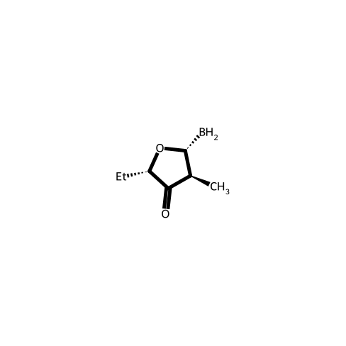 B[C@H]1O[C@@H](CC)C(=O)[C@@H]1C